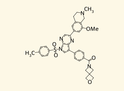 COc1cc(-c2cnc3c(n2)c(-c2ccc(C(=O)N4CC5(COC5)C4)cc2)cn3S(=O)(=O)c2ccc(C)cc2)cc2c1CN(C)CC2